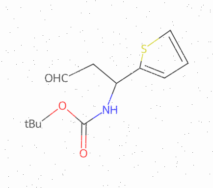 CC(C)(C)OC(=O)NC(CC=O)c1cccs1